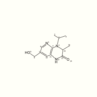 CC(C)N1c2ncc(CO)cc2NC(=O)C1C